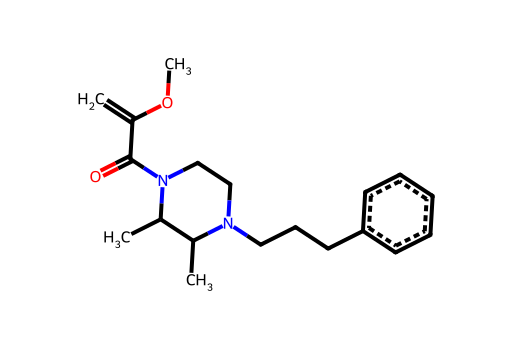 C=C(OC)C(=O)N1CCN(CCCc2ccccc2)C(C)C1C